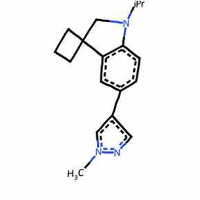 CC(C)N1CC2(CCC2)c2cc(-c3cnn(C)c3)ccc21